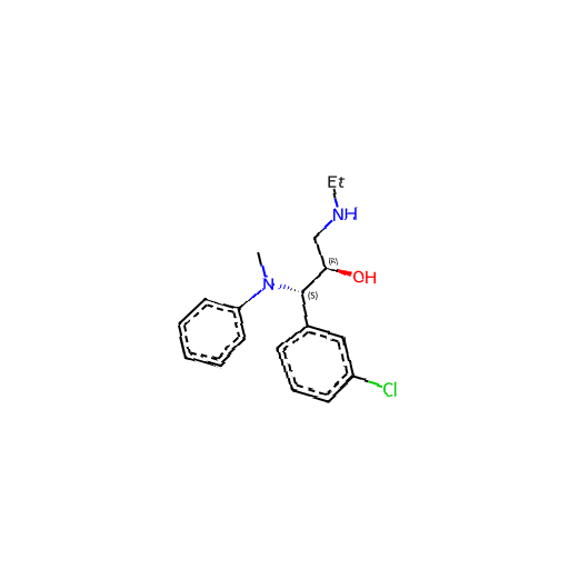 CCNC[C@@H](O)[C@H](c1cccc(Cl)c1)N(C)c1ccccc1